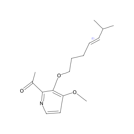 COc1ccnc(C(C)=O)c1OCCC/C=C/C(C)C